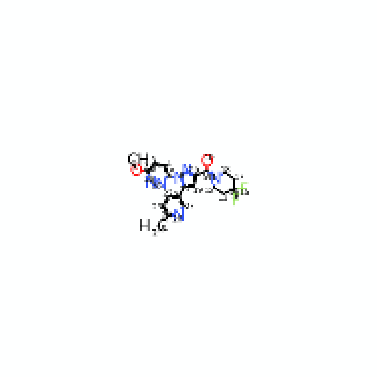 COc1ccc(-n2nc(C(=O)N3CCC(F)(F)CC3)cc2-c2ccc(C)nc2)nn1